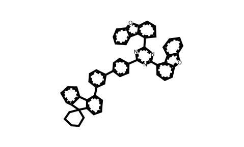 c1cc(-c2ccc(-c3nc(-c4cccc5oc6ccccc6c45)nc(-c4cccc5oc6ccccc6c45)n3)cc2)cc(-c2cccc3c2-c2ccccc2C32CCCCC2)c1